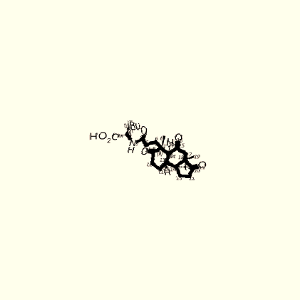 CC[C@H](C)[C@H](NC(=O)CC[C@@]1(C)C(=O)CC[C@@H]2[C@@H]1C(=O)C[C@]1(C)C(=O)CC[C@@H]21)C(=O)O